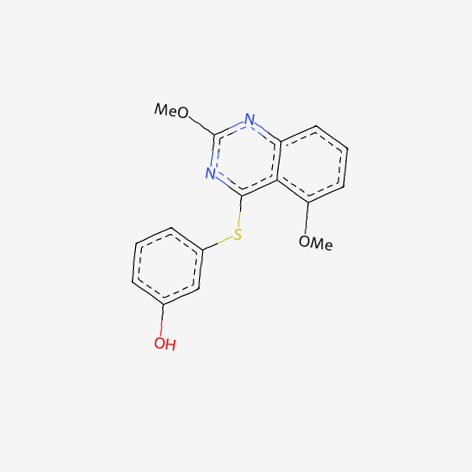 COc1nc(Sc2cccc(O)c2)c2c(OC)cccc2n1